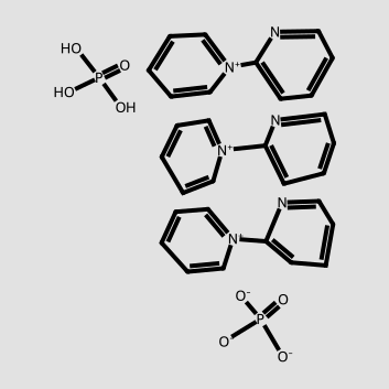 O=P(O)(O)O.O=P([O-])([O-])[O-].c1cc[n+](-c2ccccn2)cc1.c1cc[n+](-c2ccccn2)cc1.c1cc[n+](-c2ccccn2)cc1